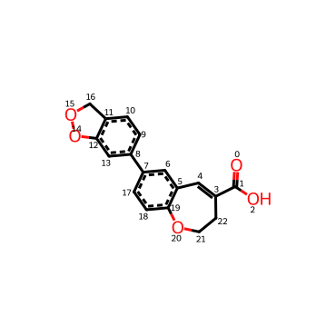 O=C(O)C1=Cc2cc(-c3ccc4c(c3)OOC4)ccc2OCC1